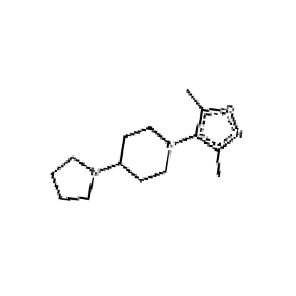 Cc1noc(C)c1N1CCC(N2CCCC2)CC1